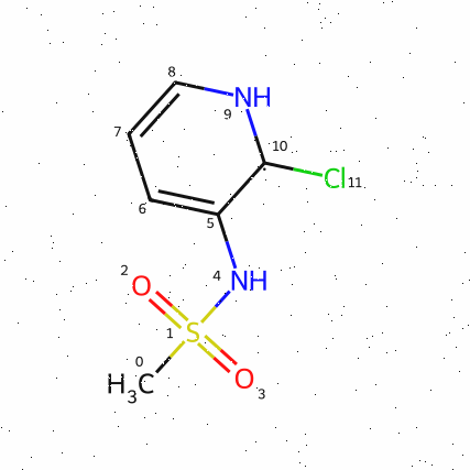 CS(=O)(=O)NC1=CC=CN[C]1Cl